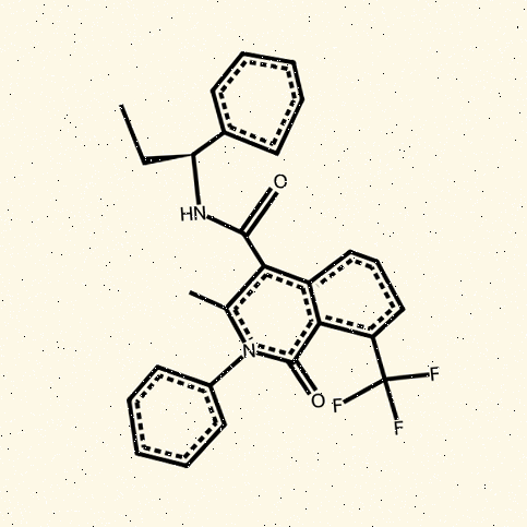 CC[C@H](NC(=O)c1c(C)n(-c2ccccc2)c(=O)c2c(C(F)(F)F)cccc12)c1ccccc1